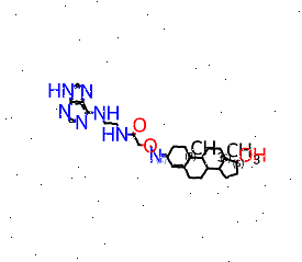 C[C@]12CC/C(=N\OCC(=O)NCCNc3ncnc4[nH]cnc34)C=C1CCC1C2CC[C@@]2(C)C1CC[C@@H]2O